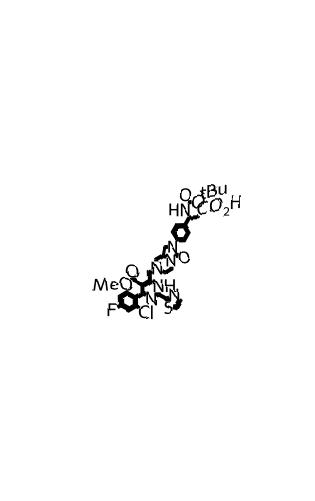 COC(=O)C1=C(CN2CCN3C(=O)N(c4ccc(C(CC(=O)O)NC(=O)OC(C)(C)C)cc4)CC3C2)NC(c2nccs2)=NC1c1ccc(F)cc1Cl